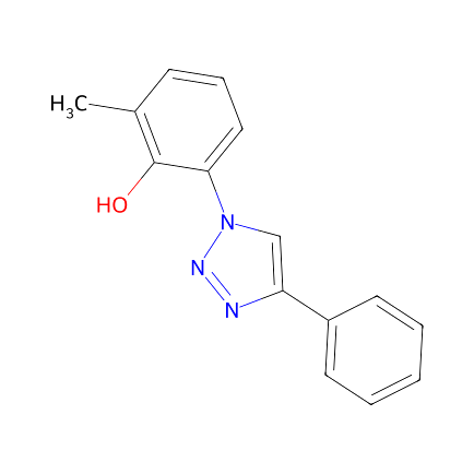 Cc1cccc(-n2cc(-c3ccccc3)nn2)c1O